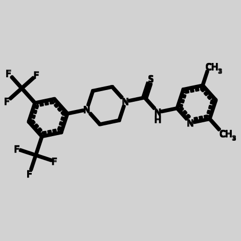 Cc1cc(C)nc(NC(=S)N2CCN(c3cc(C(F)(F)F)cc(C(F)(F)F)c3)CC2)c1